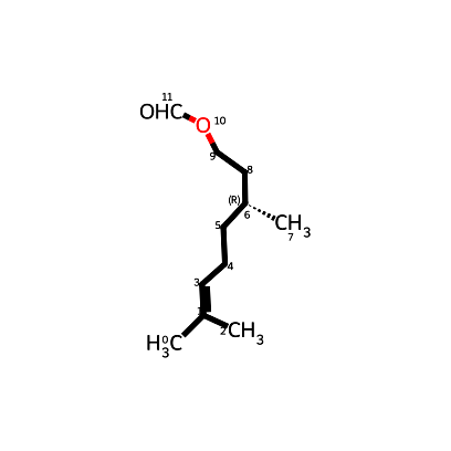 CC(C)=CCC[C@@H](C)CCOC=O